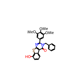 COc1cc(-c2nc3sc4c(O)cccc4c3c(=O)n2Cc2ccccc2)cc(OC)c1OC